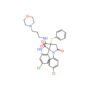 O=C1CC(Sc2ccccc2)(C(=O)NCCCN2CCOCC2)C2(C(=O)Nc3cc(Cl)ccc32)N1c1ccc(Cl)cc1